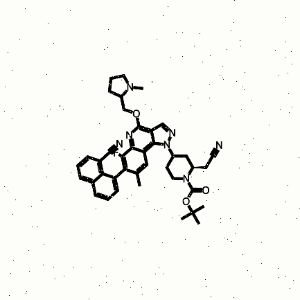 Cc1cc2c(nc(OCC3CCCN3C)c3cnn(C4CCN(C(=O)OC(C)(C)C)[C@H](CC#N)C4)c32)c(F)c1-c1cccc2cccc(C#N)c12